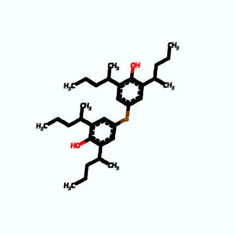 CCCC(C)c1cc(Sc2cc(C(C)CCC)c(O)c(C(C)CCC)c2)cc(C(C)CCC)c1O